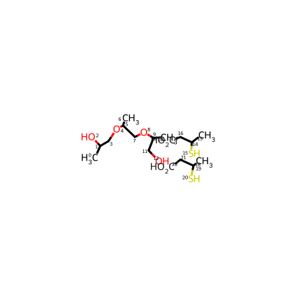 CC(O)COC(C)COC(C)CO.CC(S)CC(=O)O.CC(S)CC(=O)O